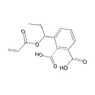 C=CC(=O)OC(CC)c1cccc(C(=O)O)c1C(=O)O